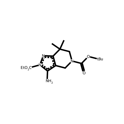 CCOC(=O)n1nc2c(c1N)CN(C(=O)OC(C)(C)C)CC2(C)C